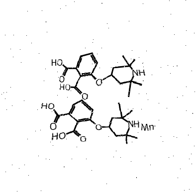 CC1(C)CC(Oc2cccc(C(=O)O)c2C(=O)O)CC(C)(C)N1.CC1(C)CC(Oc2cccc(C(=O)O)c2C(=O)O)CC(C)(C)N1.[Mn]